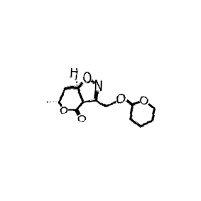 C[C@@H]1C[C@H]2ON=C(COC3CCCCO3)C2C(=O)O1